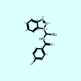 CC(C)(C)C(NC(=O)c1ccc(F)cc1)n1nnc2ccccc21